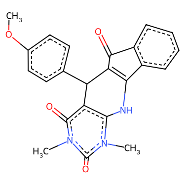 COc1ccc(C2C3=C(Nc4c2c(=O)n(C)c(=O)n4C)c2ccccc2C3=O)cc1